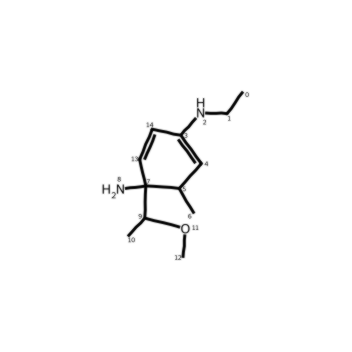 CCNC1=CC(C)C(N)(C(C)OC)C=C1